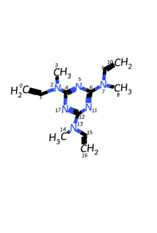 C=CN(C)c1nc(N(C)C=C)nc(N(C)C=C)n1